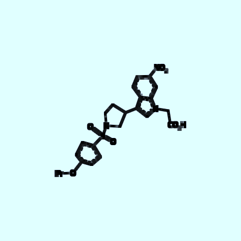 CC(C)Oc1ccc(S(=O)(=O)N2CCC(c3cn(CC(=O)O)c4cc([N+](=O)[O-])ccc34)C2)cc1